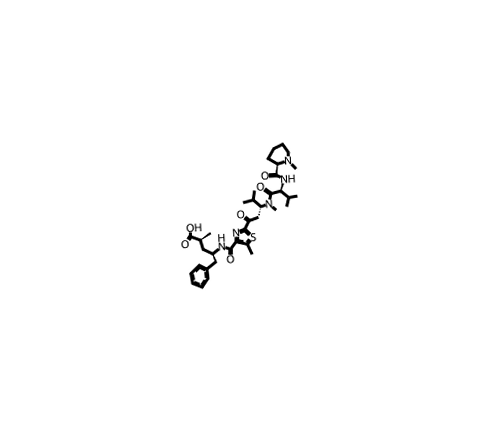 Cc1sc(C(=O)C[C@H](C(C)C)N(C)C(=O)[C@@H](NC(=O)[C@H]2CCCCN2C)C(C)C)nc1C(=O)N[C@@H](Cc1ccccc1)C[C@H](C)C(=O)O